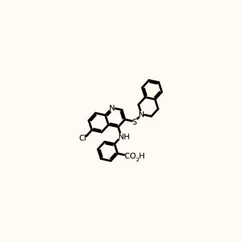 O=C(O)c1ccccc1Nc1c(SN2CCc3ccccc3C2)cnc2ccc(Cl)cc12